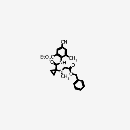 CCOC(=O)c1cc(C#N)cc(C)c1NC(=O)C1(N(C)CC(=O)OCc2ccccc2)CC1